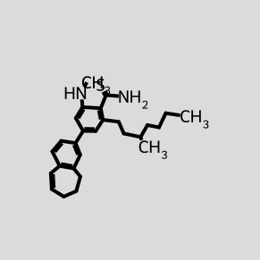 CCCCC(C)CCc1cc(-c2ccc3c(c2)CCCC=C3)cc(NC)c1C(N)=S